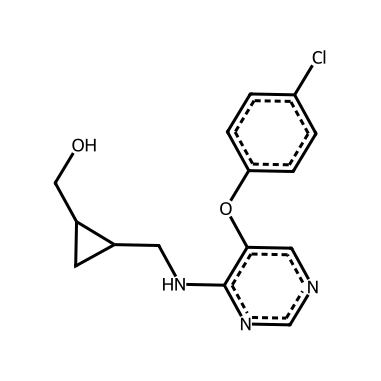 OCC1CC1CNc1ncncc1Oc1ccc(Cl)cc1